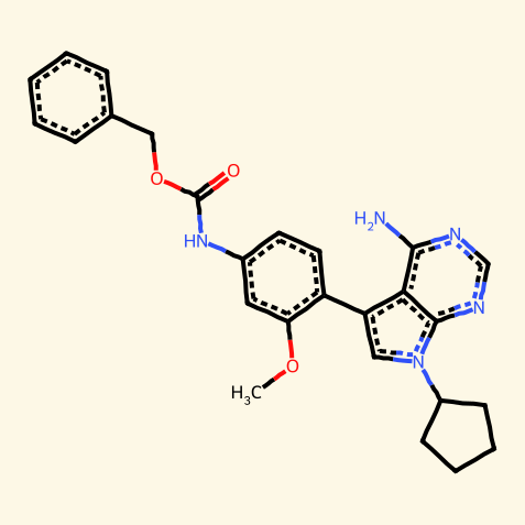 COc1cc(NC(=O)OCc2ccccc2)ccc1-c1cn(C2CCCC2)c2ncnc(N)c12